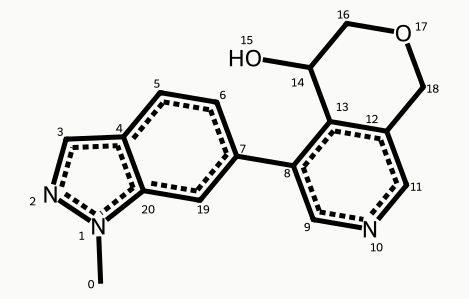 Cn1ncc2ccc(-c3cncc4c3C(O)COC4)cc21